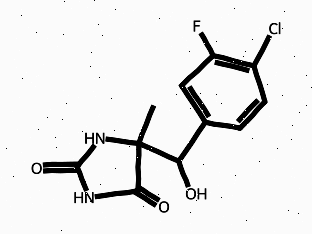 CC1(C(O)c2ccc(Cl)c(F)c2)NC(=O)NC1=O